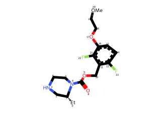 CC[C@@H]1CNCCN1C(=O)OCc1c(F)ccc(OCCOC)c1F